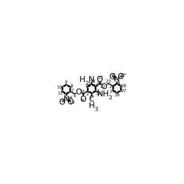 Cc1c(C(=O)OCc2ccccc2[N+](=O)[O-])cc(N)c(C(=O)OCc2ccccc2[N+](=O)[O-])c1N